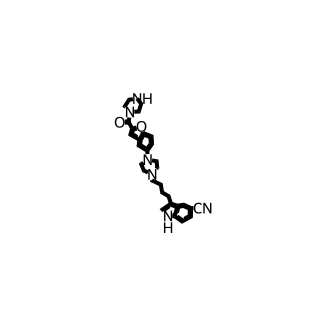 N#Cc1ccc2[nH]cc(CCCCN3CCN(c4ccc5oc(C(=O)N6CCNCC6)cc5c4)CC3)c2c1